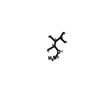 CC(C)C(C)C(C)O[SiH3]